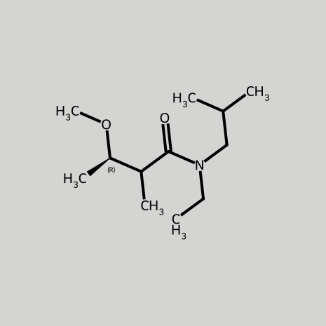 CCN(CC(C)C)C(=O)C(C)[C@@H](C)OC